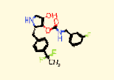 CC(F)(F)c1ccc(C[C@H]2NC[C@H](O)[C@H]2OC(=O)NCc2cccc(F)c2)cc1